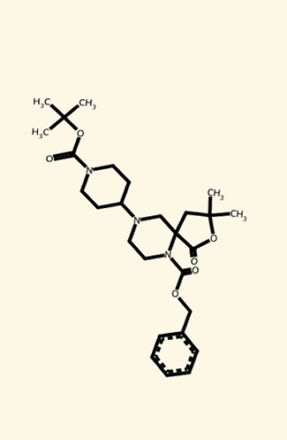 CC(C)(C)OC(=O)N1CCC(N2CCN(C(=O)OCc3ccccc3)C3(C2)CC(C)(C)OC3=O)CC1